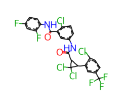 O=C(Nc1ccc(F)cc1F)c1cc(NC(=O)C2C(c3cc(C(F)(F)F)ccc3Cl)C2(Cl)Cl)ccc1Cl